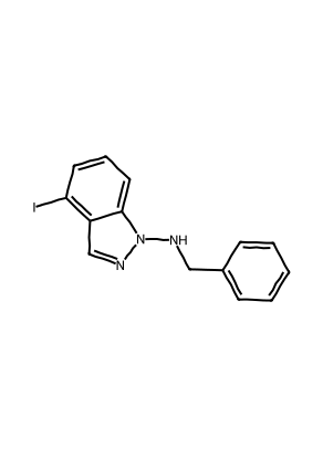 Ic1cccc2c1cnn2NCc1ccccc1